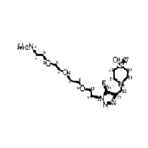 CNCCOCCOCCOCCn1nnc(CN2CCS(=O)(=O)CC2)c1F